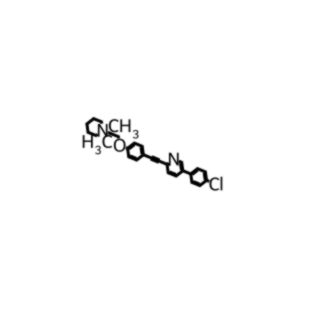 CC(C)(COc1ccc(C#Cc2ccc(-c3ccc(Cl)cc3)cn2)cc1)N1CCCCC1